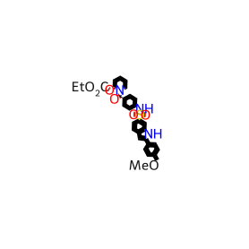 CCOC(=O)OC1CCCCN1C(=O)[C@H]1CC[C@H](NS(=O)(=O)c2ccc3cc(-c4ccc(COC)cc4)[nH]c3c2)CC1